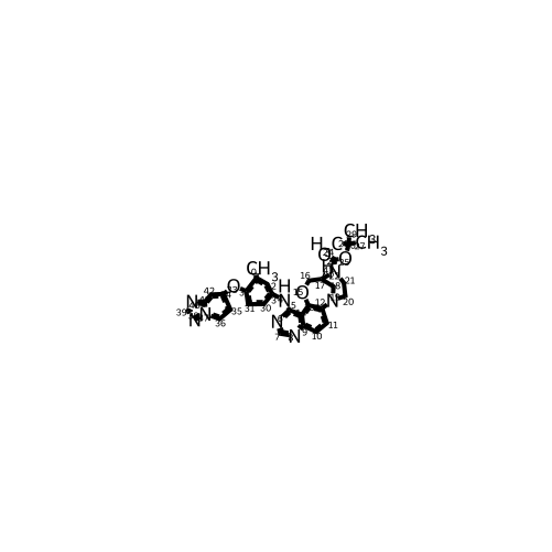 Cc1cc(Nc2ncnc3ccc4c(c23)OC[C@@H]2CN4CCN2C(=O)OC(C)(C)C)ccc1Oc1ccn2ncnc2c1